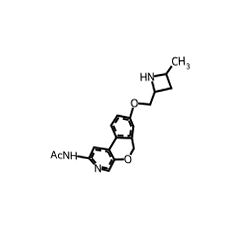 CC(=O)Nc1cc2c(cn1)OCc1cc(OCC3CC(C)N3)ccc1-2